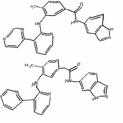 Cc1ccc(C(=O)Nc2ccc3[nH]ncc3c2)cc1Nc1ncccc1-c1ccncn1.Cc1ccc(C(=O)Nc2ccc3cn[nH]c3c2)cc1Nc1ncccc1-c1ccncn1